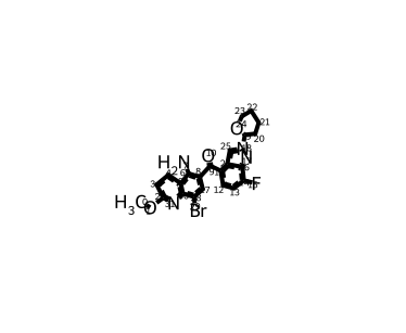 COc1ccc2c(N)c(C(=O)c3ccc(F)c4nn(C5CCCCO5)cc34)cc(Br)c2n1